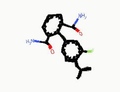 CC(C)c1ccc(-c2c(C(N)=O)cccc2C(N)=O)cc1F